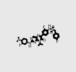 CC(C)n1c(=O)c(-c2ccc(NS(=O)(=O)Cc3ccc(F)cc3)c(F)c2)nc2cnc(N[C@H]3CC[C@H](N(C)C)[C@@H](F)C3)nc21